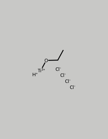 CC[O][Ti+3].[Cl-].[Cl-].[Cl-].[Cl-].[H+]